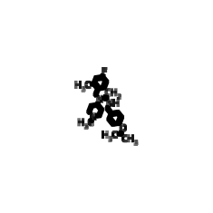 C=C(NCc1ccc(OC(C)C)cc1)N(Cc1ccc(F)cc1C)C1CCN(C)CC1